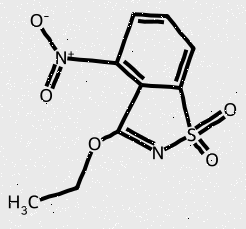 CCOC1=NS(=O)(=O)c2cccc([N+](=O)[O-])c21